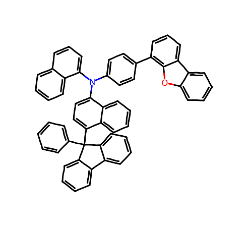 c1ccc(C2(c3ccc(N(c4ccc(-c5cccc6c5oc5ccccc56)cc4)c4cccc5ccccc45)c4ccccc34)c3ccccc3-c3ccccc32)cc1